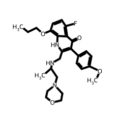 CCCOc1ccc(F)c2c(=O)c(-c3ccc(OC)cc3)c(CNC(C)CN3CCOCC3)[nH]c12